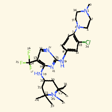 CN1CCN(c2ccc(Nc3ncc(C(F)(F)F)c(NC4CC(C)(C)N(C)C(C)(C)C4)n3)cc2Cl)CC1